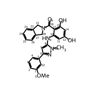 COc1cccc(-c2cc(Nc3cc(O)cc(O)c3C(=O)N3Cc4ccccc4C3)n(C)n2)c1